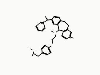 CCOC(=O)C(Cc1ccc(OCCN(C)C2c3ccc(CC)cc3CCc3ccc(C(C)c4ccccc4)cc32)cc1)OCC